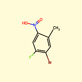 Cc1cc(Br)c(F)cc1[N+](=O)O